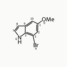 COc1cc(Br)c2[nH]c[c]c2c1